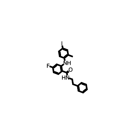 Cc1cc(I)ccc1Nc1cc(F)ccc1C(=O)NCCc1ccccc1